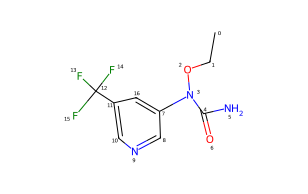 CCON(C(N)=O)c1cncc(C(F)(F)F)c1